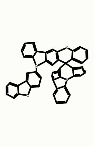 c1ccc2c(c1)Sc1cc3c4ccccc4n(-c4ccc5oc6ccccc6c5c4)c3cc1C21c2ccccc2-n2c3ccccc3c3cccc1c32